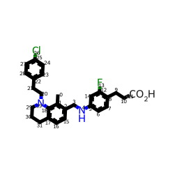 Cc1c(CNc2ccc(CCC(=O)O)c(F)c2)ccc2c1N(CCc1ccc(Cl)cc1)CCC2